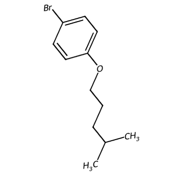 CC(C)CCCOc1ccc(Br)cc1